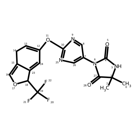 CC1(C)NC(=O)N(c2cnc(OC3=CCC4=COC(C(F)(F)F)C4=C3)nc2)C1=O